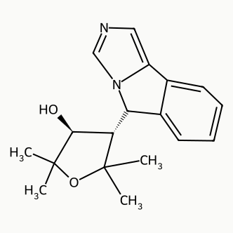 CC1(C)OC(C)(C)[C@@H](C2c3ccccc3-c3cncn32)[C@@H]1O